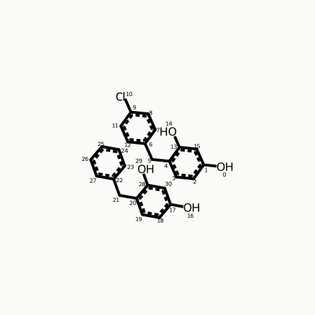 Oc1ccc(Cc2ccc(Cl)cc2)c(O)c1.Oc1ccc(Cc2ccccc2)c(O)c1